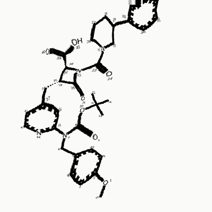 COc1ccc(CN(C(=O)OC(C)(C)C)c2cc(C[C@H]3C(=O)N(C(=O)N4CCCC(c5ccc(F)cc5)C4)[C@@H]3C(=O)O)ccn2)cc1